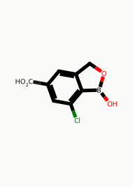 O=C(O)c1cc(Cl)c2c(c1)COB2O